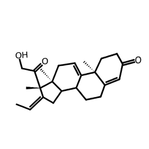 C/C=C1/CC2C3CCC4=CC(=O)CC[C@]4(C)C3=CC[C@]2(C)[C@@]1(C)C(=O)CO